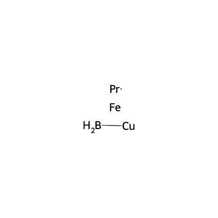 [BH2][Cu].[Fe].[Pr]